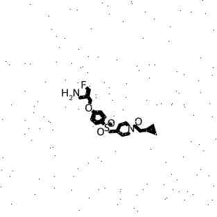 NC/C(=C\F)COc1ccc(S(=O)(=O)CC2CCN(C(=O)CC3CC3)CC2)cc1